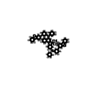 CC1(C)c2cc(N(c3ccccc3)c3cccc(-c4ccc5c(c4)oc4ccccc45)c3)ccc2-c2c1cc(N(c1ccccc1)c1cccc(-c3ccc4c(c3)oc3ccccc34)c1)c1ccccc21